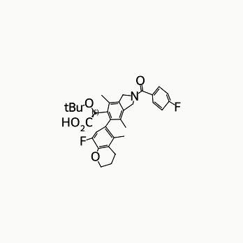 Cc1c(-c2c(C)c3c(c(C)c2[C@H](OC(C)(C)C)C(=O)O)CN(C(=O)c2ccc(F)cc2)C3)cc(F)c2c1CCCO2